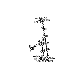 CC(=O)NC1C(OCCCCC(=O)NCCCCC(=O)NCCN(CCNC(=O)CCCCNC(=O)CCCCOC2OC(COC(C)=O)C(OC(C)=O)C(OC(C)=O)C2NC(C)=O)C(=O)CC[C@H](NC(=O)CCCCNC(=O)CCCCOC2OC(COC(C)=O)C(OC(C)=O)C(OC(C)=O)C2NC(C)=O)C(=O)NCCOCC(=O)Oc2c(F)c(F)cc(F)c2F)OC(COC(C)=O)C(OC(C)=O)C1OC(C)=O